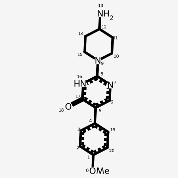 COc1ccc(-c2cnc(N3CCC(N)CC3)[nH]c2=O)cc1